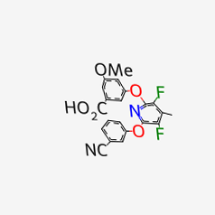 COc1cc(Oc2nc(Oc3cccc(C#N)c3)c(F)c(C)c2F)cc(C(=O)O)c1